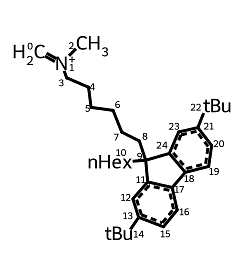 C=[N+](C)CCCCCCC1(CCCCCC)c2cc(C(C)(C)C)ccc2-c2ccc(C(C)(C)C)cc21